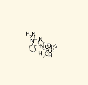 CC(C)(O)Cn1c(COC2CC2)nc2c(N)nc3ccccc3c21